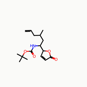 C=CCC(C)CC(NC(=O)OC(C)(C)C)C1C=CC(=O)O1